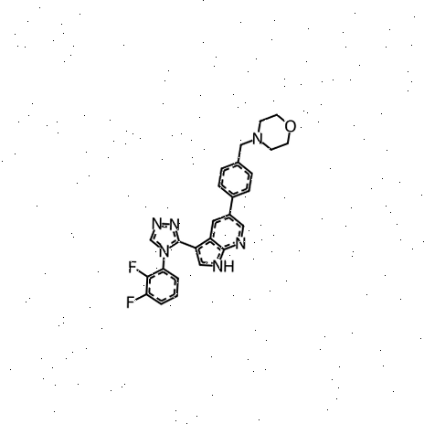 Fc1cccc(-n2cnnc2-c2c[nH]c3ncc(-c4ccc(CN5CCOCC5)cc4)cc23)c1F